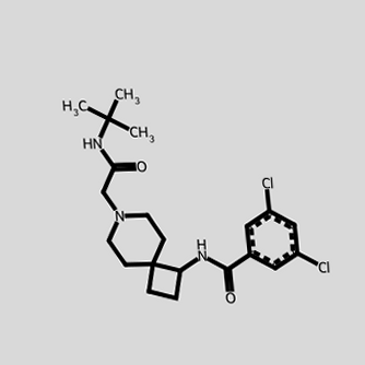 CC(C)(C)NC(=O)CN1CCC2(CCC2NC(=O)c2cc(Cl)cc(Cl)c2)CC1